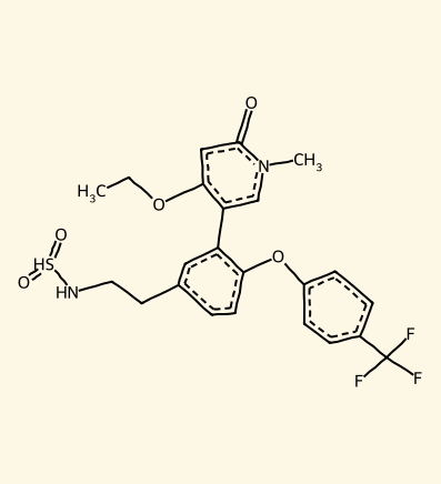 CCOc1cc(=O)n(C)cc1-c1cc(CCN[SH](=O)=O)ccc1Oc1ccc(C(F)(F)F)cc1